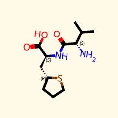 CC(C)[C@H](N)C(=O)N[C@@H](C[C@H]1CCCS1)C(=O)O